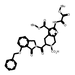 CC(C)(C)OC(=O)C(=O)Nc1sc2c(c1C(=O)OC(C)(C)C)CC(C(=O)N1Cc3cccc(OCc4ccccc4)c3C1=O)N(C(=O)O)C2